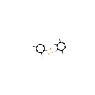 Cc1ccc(S(=O)(=O)Oc2c(I)ccc(I)c2O)c(I)c1